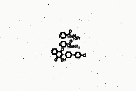 CC(C)NNC(=O)c1ccncc1.NNC(=O)c1ccncc1.O=C1C(O)=C([C@H]2CC[C@H](c3ccc(Cl)cc3)CC2)C(=O)c2ccccc21